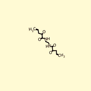 C=CCC(=O)C(=O)NCCNC(=O)C(=O)CC=C